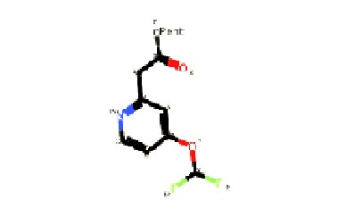 CCCCCC(=O)Cc1cc(OC(F)F)ccn1